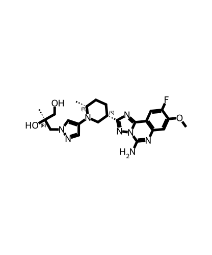 COc1cc2nc(N)n3nc([C@H]4CC[C@@H](C)N(c5cnn(C[C@@](C)(O)CO)c5)C4)nc3c2cc1F